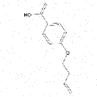 C=CCCOc1ccc(C(=C)O)cc1